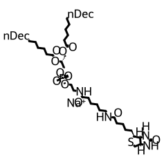 CCCCCCCCCCCCCCCC(=O)OC[C@H](COP(=O)([O-])OCCNC(=O)CCCCCNC(=O)CCCC[C@@H]1SC[C@@H]2NC(=O)N[C@@H]21)OC(=O)CCCCCCCCCCCCCCC.[Na+]